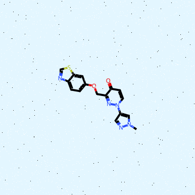 Cn1cc(-n2ccc(=O)c(COc3ccc4ncsc4c3)n2)cn1